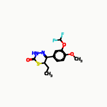 CCC1SC(=O)NN=C1c1ccc(OC)c(OC(F)F)c1